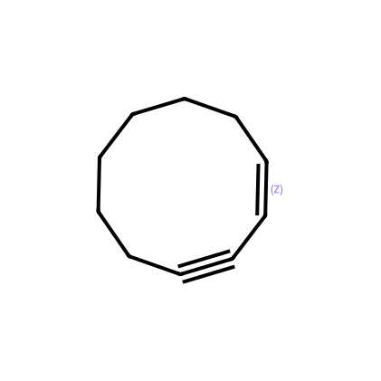 C1#CCCCCCC/C=C\1